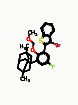 COCOc1c(-c2sc3ccccc3c2Br)cc(F)cc1C12CC3CC(C)(CC(C)(C3)C1)C2